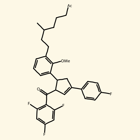 COc1c(CCC(C)CCCC(C)=O)cccc1C1CC(c2ccc(F)cc2)=CC1C(=O)c1c(F)cc(F)cc1F